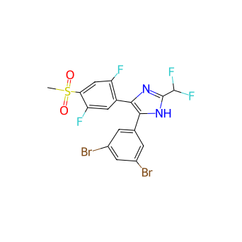 CS(=O)(=O)c1cc(F)c(-c2nc(C(F)F)[nH]c2-c2cc(Br)cc(Br)c2)cc1F